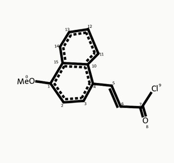 COc1ccc(/C=C/C(=O)Cl)c2ccccc12